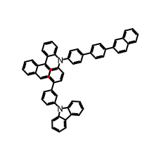 c1cc(-c2ccc(N(c3ccc(-c4ccc(-c5ccc6ccccc6c5)cc4)cc3)c3ccccc3-c3cccc4ccccc34)cc2)cc(-n2c3ccccc3c3ccccc32)c1